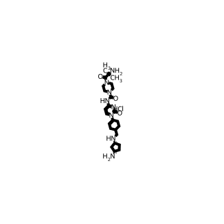 CC(C)(N)C(=O)N1CCN(C(=O)Nc2ccn(C3=CCC(CN[C@H]4CC[C@H](N)C4)CC3)c(=O)n2)CC1.Cl